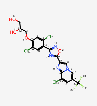 OC[C@H](O)COc1cc(Cl)c(-c2noc(-c3cn4cc(C(F)(F)F)cc(Cl)c4n3)n2)cc1Cl